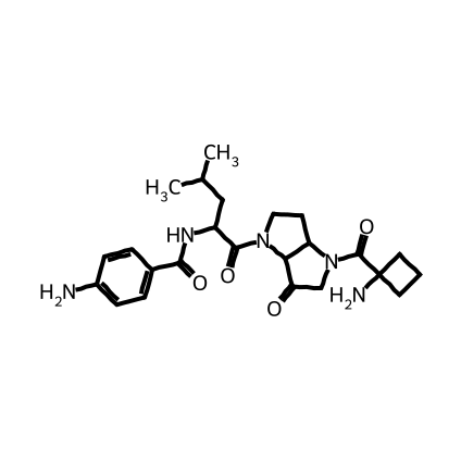 CC(C)CC(NC(=O)c1ccc(N)cc1)C(=O)N1CCC2C1C(=O)CN2C(=O)C1(N)CCC1